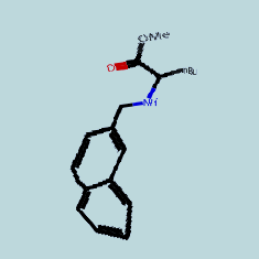 CCCCC(NCc1[c]cc2ccccc2c1)C(=O)OC